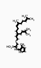 CC(C)=CCCC(C)=CCCC(=CCSCC(Nc1[nH]ccc1C)C(=O)O)CC=C(C)C